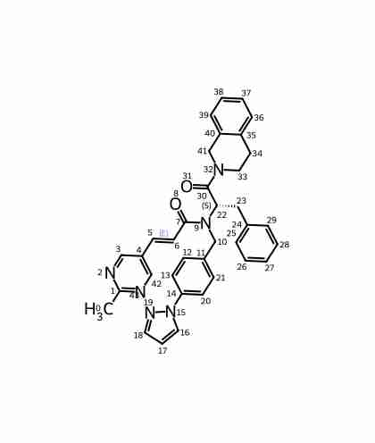 Cc1ncc(/C=C/C(=O)N(Cc2ccc(-n3cccn3)cc2)[C@@H](Cc2ccccc2)C(=O)N2CCc3ccccc3C2)cn1